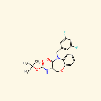 CC(C)(C)OC(=O)N[C@H]1COc2ccccc2N(Cc2cc(F)cc(F)c2)C1=O